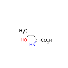 C[C@@H](O)CC(=N)C(=O)O